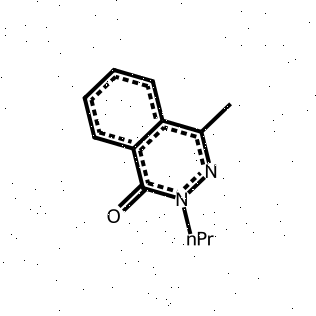 CCCn1nc(C)c2ccccc2c1=O